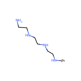 CC(C)NCCNCCNCCN